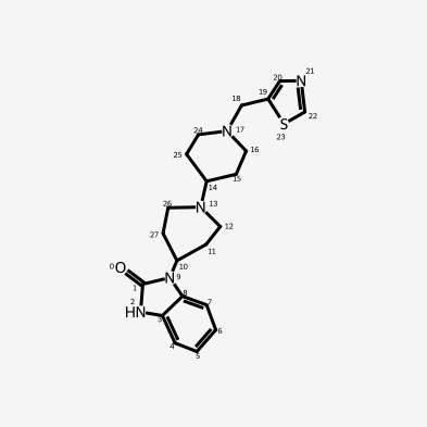 O=c1[nH]c2ccccc2n1C1CCN(C2CCN(Cc3cncs3)CC2)CC1